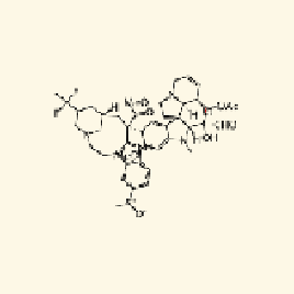 CC[C@]12C=CCN3CC[C@@]4(C5=CC([C@@]6(C(=O)OC)C[C@H]7CC(C(C)(F)F)CN(CCc8c6[nH]c6ccc([S+](C)[O-])cc86)C7)C(OC)C=C5N(C)[C@H]4[C@@](O)(C=O)[C@@H]1OC(C)=O)[C@@H]32